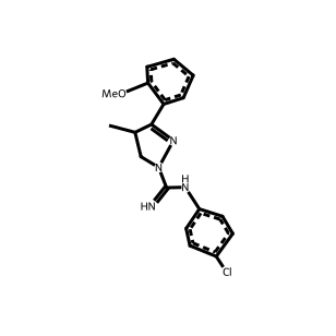 COc1ccccc1C1=NN(C(=N)Nc2ccc(Cl)cc2)CC1C